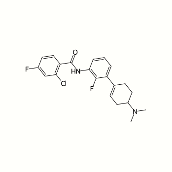 CN(C)C1CC=C(c2cccc(NC(=O)c3ccc(F)cc3Cl)c2F)CC1